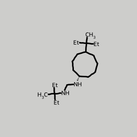 CCC(C)(CC)NCN[C@H]1CCCCC(C(C)(CC)CC)CCC1